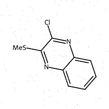 CSc1nc2ccccc2nc1Cl